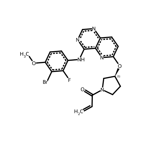 C=CC(=O)N1CC[C@H](Oc2ccc3ncnc(Nc4ccc(OC)c(Br)c4F)c3n2)C1